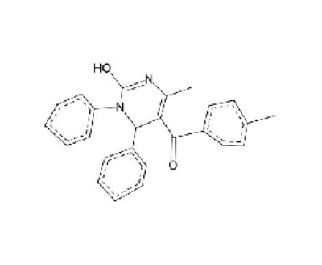 CC1=C(C(=O)c2ccc(C)cc2)C(c2ccccc2)N(c2ccccc2)C(O)=N1